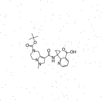 CN1CC(C(=O)NC2(c3ncccc3C(=O)O)CC2)=C2CN(C(=O)OC(C)(C)C)CCN21